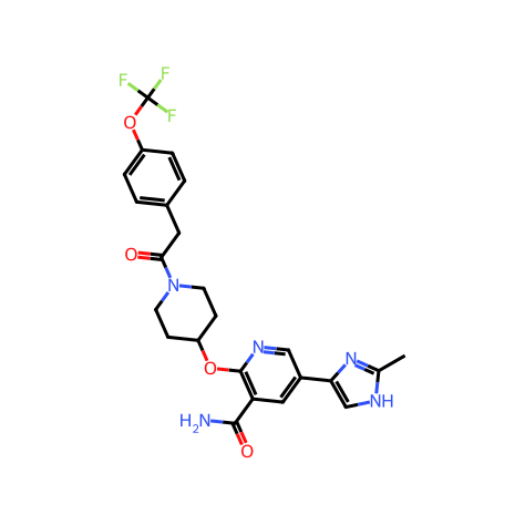 Cc1nc(-c2cnc(OC3CCN(C(=O)Cc4ccc(OC(F)(F)F)cc4)CC3)c(C(N)=O)c2)c[nH]1